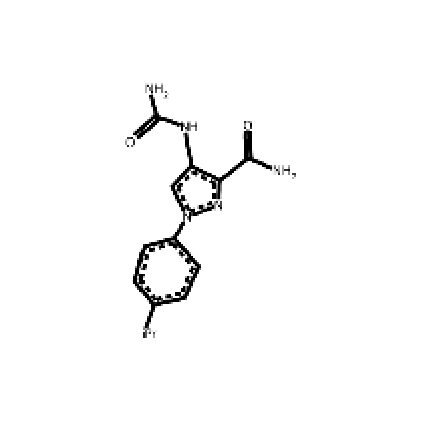 CC(C)c1ccc(-n2cc(NC(N)=O)c(C(N)=O)n2)cc1